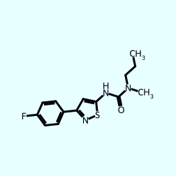 CCCN(C)C(=O)Nc1cc(-c2ccc(F)cc2)ns1